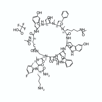 CC(=O)NCCCC[C@H]1C(=O)N[C@@H](Cc2c[nH]c3ccc(O)cc23)C(=O)N[C@@H](Cc2c[nH]c3ccccc23)C(=O)N[C@@H]([C@H](C)O)C(=O)N(C)[C@H](C(=O)N(C)[C@@H](Cc2ccc(F)cc2)C(=O)N[C@@H](CCCCN)C(N)=O)CNC(=O)CC[C@H](NC(C)=O)C(=O)N[C@@H](Cc2ccc(O)cc2)C(=O)N[C@@H](CO)C(=O)N(C)[C@@H](CCc2ccccc2)C(=O)N1C.O=C(O)C(F)(F)F